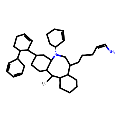 CC1C2CCCCC2C(CCC/C=C\N)CN([C@H]2C=CCCC2)C2CC(C3C=CCCC3C3C=CC=CC3)CCC12